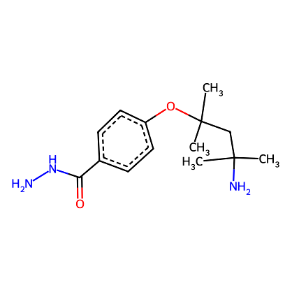 CC(C)(N)CC(C)(C)Oc1ccc(C(=O)NN)cc1